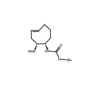 CN[C@H]1C/C=C/CCC[C@H]1NC(=O)OC(C)(C)C